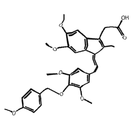 COc1ccc(COc2c(OC)cc(/C=C3/C(C)=C(CC(=O)O)c4cc(OC)c(OC)cc43)cc2OC)cc1